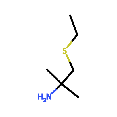 CCSCC(C)(C)N